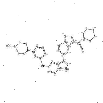 CN1CCN(c2cc(Nc3cnc4[nH]cc(-c5ccn6ncc(C(=O)N7CCOCC7)c6c5)c4c3)ccn2)CC1